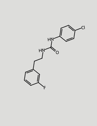 O=C(NCCc1cccc(F)c1)Nc1ccc(Cl)cc1